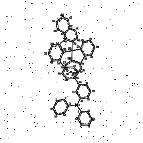 c1ccc(N(c2cccnc2)c2cccc(-c3ccc(-c4cccc5c4C4(c6ccccc6-c6ccccc64)c4ccc6ccccc6c4-5)cc3)c2)cc1